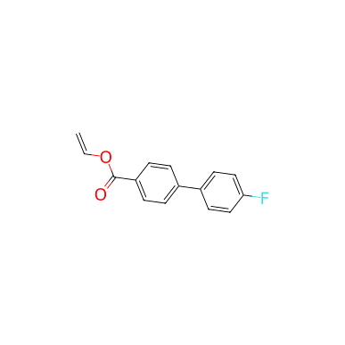 C=COC(=O)c1ccc(-c2ccc(F)cc2)cc1